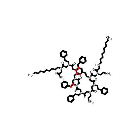 CCCCCCCCCCNCC(=O)N(CCN)CC(=O)N(CCc1ccccc1)CC(=O)N(CCc1ccccc1)CC(=O)N(CCN)CC(=O)N(CCc1ccccc1)CC(=O)N(CCc1ccccc1)CC(=O)N(CCN)CC(=O)N(CCc1ccccc1)CC(=O)N(CCc1ccccc1)CC(=O)N(CCCCCCCCCC)CC(N)=O